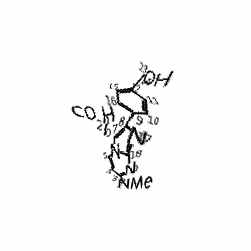 CC(=O)O.CNc1ccn2cc(-c3ccc(CO)cc3)nc2n1